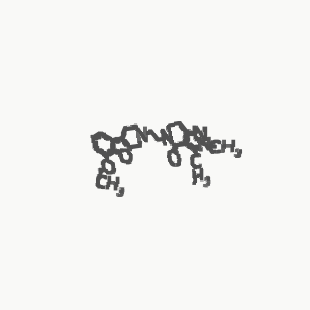 CCOc1cccc2c3c(oc12)CN(CCN1CCc2nn(C)c(C)c2C1=O)CC3